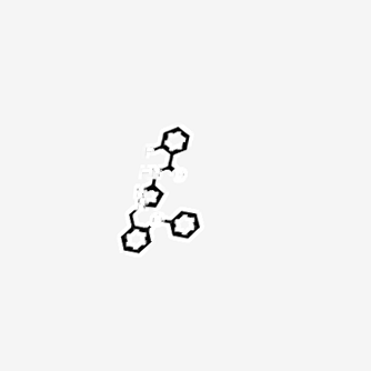 O=C(Nc1ccn(Cc2ccccc2Oc2ccccc2)n1)c1ccccc1F